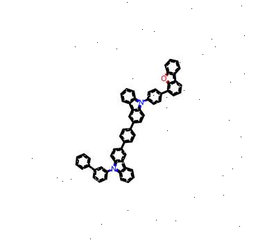 c1ccc(-c2cccc(-n3c4ccccc4c4cc(-c5ccc(-c6ccc7c(c6)c6ccccc6n7-c6ccc(-c7cccc8c7oc7ccccc78)cc6)cc5)ccc43)c2)cc1